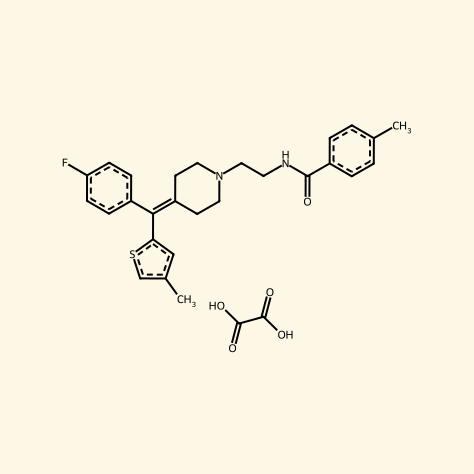 Cc1ccc(C(=O)NCCN2CCC(=C(c3ccc(F)cc3)c3cc(C)cs3)CC2)cc1.O=C(O)C(=O)O